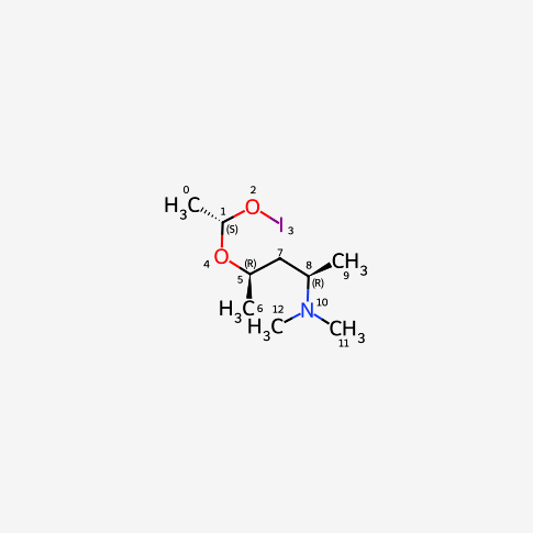 C[C@H](OI)O[C@H](C)C[C@@H](C)N(C)C